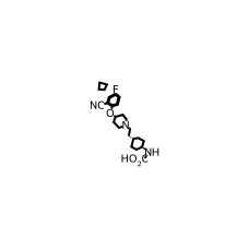 C1CCC1.N#Cc1cc(F)ccc1OC1CCN(CC[C@H]2CC[C@H](NC(=O)O)CC2)CC1